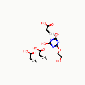 C=CC(=O)O.C=CC(=O)O.C=CC(=O)O.OCCOc1nc(O)nc(O)n1